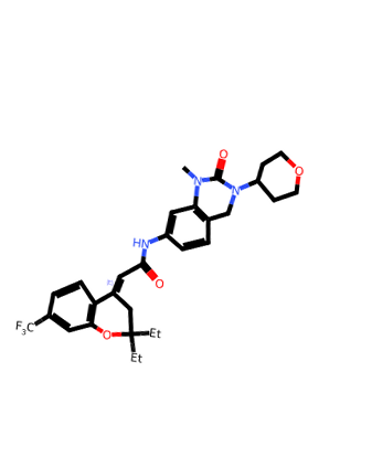 CCC1(CC)C/C(=C\C(=O)Nc2ccc3c(c2)N(C)C(=O)N(C2CCOCC2)C3)c2ccc(C(F)(F)F)cc2O1